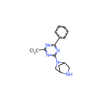 ClC(Cl)(Cl)c1nc(-c2ccccc2)nc(N2CC3CC2CN3)n1